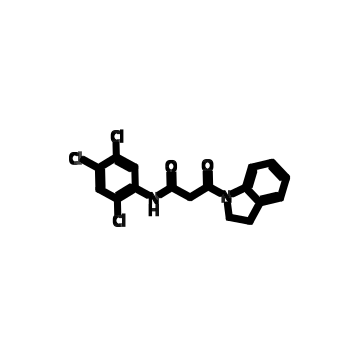 O=C(CC(=O)N1CCc2ccccc21)Nc1cc(Cl)c(Cl)cc1Cl